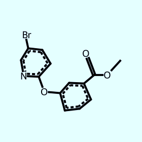 COC(=O)c1cccc(Oc2ccc(Br)cn2)c1